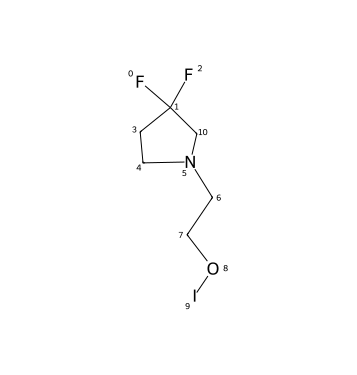 FC1(F)CCN(CCOI)C1